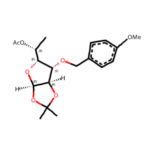 COc1ccc(CO[C@@H]2[C@H]3OC(C)(C)O[C@H]3O[C@@H]2[C@@H](C)OC(C)=O)cc1